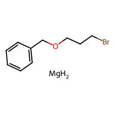 BrCCCOCc1ccccc1.[MgH2]